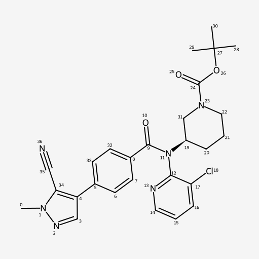 Cn1ncc(-c2ccc(C(=O)N(c3ncccc3Cl)[C@@H]3CCCN(C(=O)OC(C)(C)C)C3)cc2)c1C#N